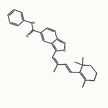 CC(C=CC1=C(C)CCCC1(C)C)=Cc1occ2ccc(C(=O)Nc3ccccc3)cc12